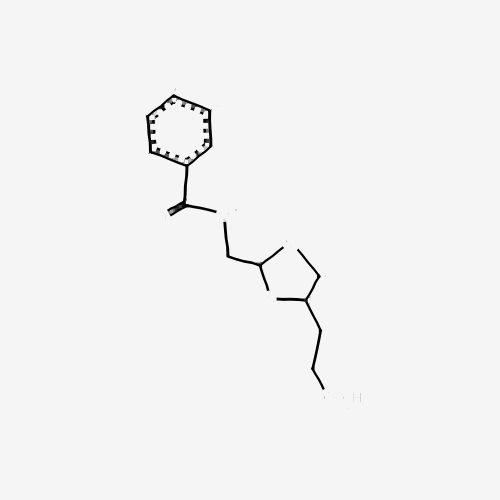 O=C(O)CCC1COC(COC(=O)c2ccccc2)S1